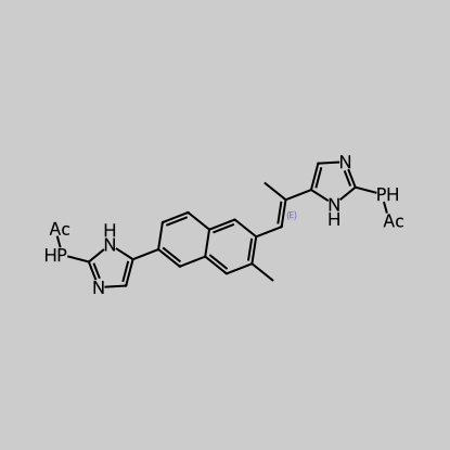 CC(=O)Pc1ncc(/C(C)=C/c2cc3ccc(-c4cnc(PC(C)=O)[nH]4)cc3cc2C)[nH]1